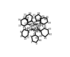 C1CCC([SiH]2[SiH](C3CCCCC3)[SiH](C3CCCCC3)[Si](C3CCCCC3)(C3CCCC3)[SiH](C3CCCCC3)[SiH]2C2CCCCC2)CC1